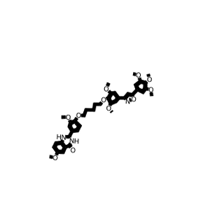 COc1ccc2c(c1)C(=O)NC(c1ccc(OCCCCCOc3c(OC)cc(-c4cc(-c5cc(OC)c(OC)c(OC)c5)on4)cc3OC)c(OC)c1)N2